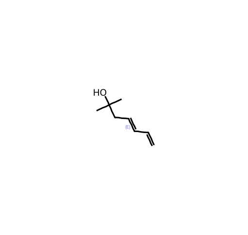 C=C/C=C/CC(C)(C)O